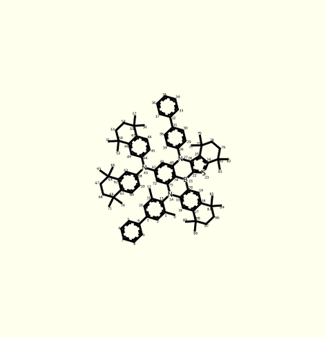 Cc1cc(-c2ccccc2)cc(C)c1N1c2cc3c(cc2B2c4sc5c(c4N(c4ccc(-c6ccccc6)cc4)c4cc(N(c6ccc7c(c6)C(C)(C)CCC7(C)C)c6ccc7c(c6)C(C)(C)CCC7(C)C)cc1c42)C(C)(C)CCC5(C)C)C(C)(C)CCC3(C)C